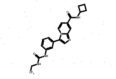 O=C(NCC(F)(F)F)Nc1cccc(-c2cnc3cc(C(=O)NC4CCC4)ccn23)c1